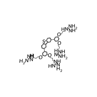 N=C(N)NCCCOc1cc(OCCCNC(=N)N)cc(-c2ccc3sc4ccc(-c5cc(OCCCNC(=N)N)cc(OCCCNC(=N)N)c5)cc4c3c2)c1